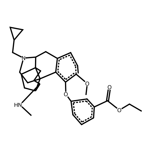 CCOC(=O)c1cccc(Oc2c(OC)ccc3c2C24CCN(CC5CC5)C(C3)C23CCC(NC)C4CC3)c1